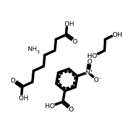 N.O=C(O)CCCCCCC(=O)O.O=C(O)c1cccc([N+](=O)[O-])c1.OCCO